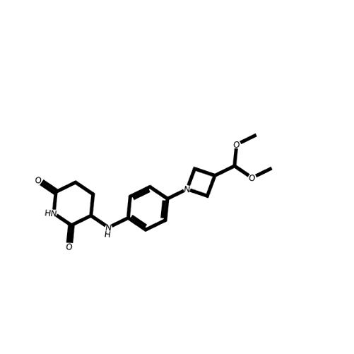 COC(OC)C1CN(c2ccc(NC3CCC(=O)NC3=O)cc2)C1